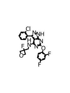 Fc1ccc(Oc2nc(NCC3(F)COC3)c3c(-c4ccccc4Cl)n[nH]c3n2)c(F)c1